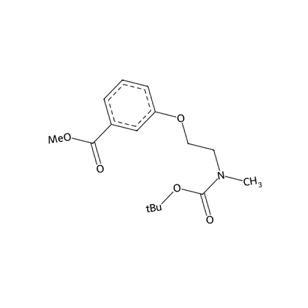 COC(=O)c1cccc(OCCN(C)C(=O)OC(C)(C)C)c1